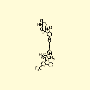 CC(C)(C(=O)Nc1ccc(C(F)(F)F)cc1C1CCCCC1)n1cc(C#CC2CN(c3ccc4c(c3)C(=O)N(C3CCC(=O)NC3=O)C4=O)C2)cn1